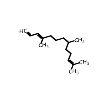 [CH]=C/C=C(\C)CCCC(C)CCC=C(C)C